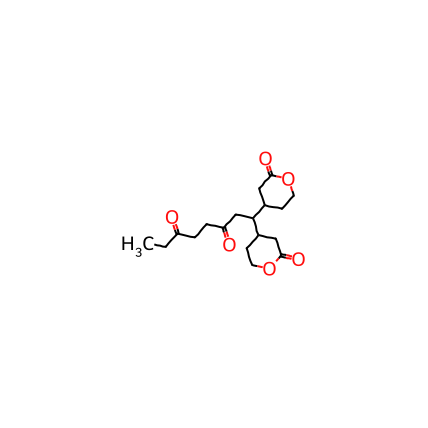 CCC(=O)CCC(=O)CC(C1CCOC(=O)C1)C1CCOC(=O)C1